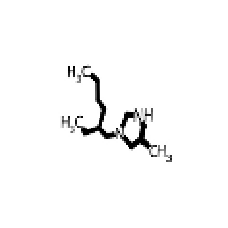 CCCCC(CC)CN1CNCC(C)C1